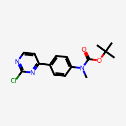 CN(C(=O)OC(C)(C)C)c1ccc(-c2ccnc(Cl)n2)cc1